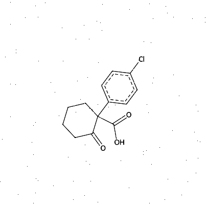 O=C(O)C1(c2ccc(Cl)cc2)CCCCC1=O